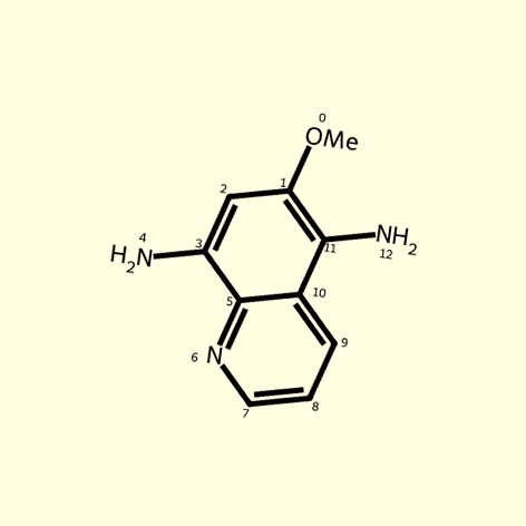 COc1cc(N)c2ncccc2c1N